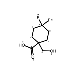 O=C(O)C1(CO)CCC(F)(F)CC1